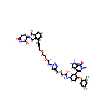 Cn1cc(-c2cc(NC(=O)CCCc3cn(CCOCCOCC#Cc4cccc5c4CN(C4CCC(=O)NC4=O)C5=O)nn3)ccc2Oc2ccc(F)cc2F)c2cc[nH]c2c1=O